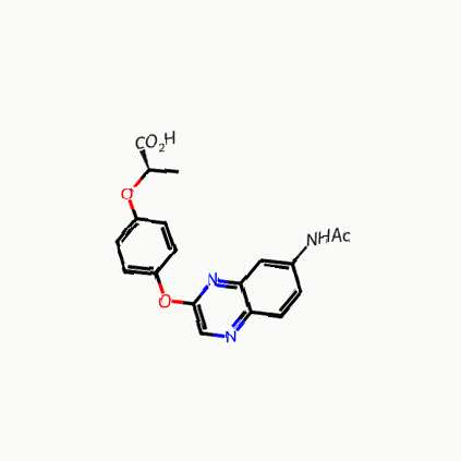 CC(=O)Nc1ccc2ncc(Oc3ccc(O[C@H](C)C(=O)O)cc3)nc2c1